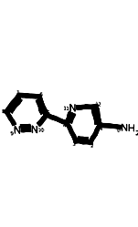 Nc1ccc(-c2cccnn2)nc1